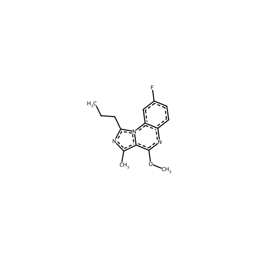 CCCc1nc(C)c2c(OC)nc3ccc(F)cc3n12